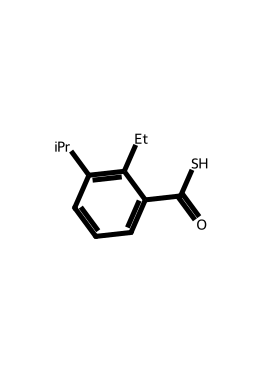 CCc1c(C(=O)S)cccc1C(C)C